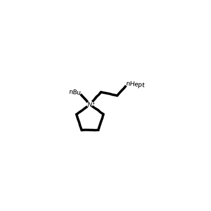 CCCCCCCCC[N+]1(CCCC)CCCC1